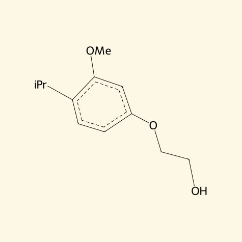 COc1cc(OCCO)ccc1C(C)C